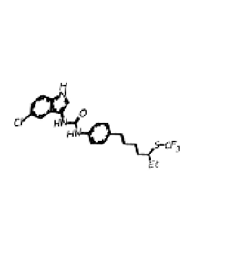 CCC(CCCCc1ccc(NC(=O)Nc2c[nH]c3ccc(Cl)cc23)cc1)SC(F)(F)F